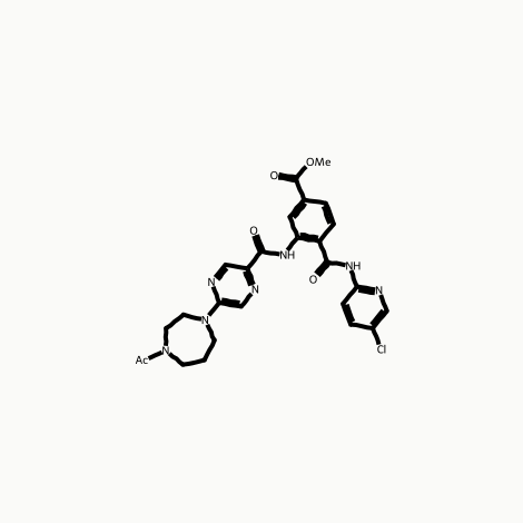 COC(=O)c1ccc(C(=O)Nc2ccc(Cl)cn2)c(NC(=O)c2cnc(N3CCCN(C(C)=O)CC3)cn2)c1